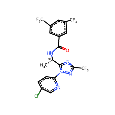 C[C@H](NC(=O)c1cc(C(F)(F)F)cc(C(F)(F)F)c1)c1nc(C(F)(F)F)nn1-c1ccc(Cl)cn1